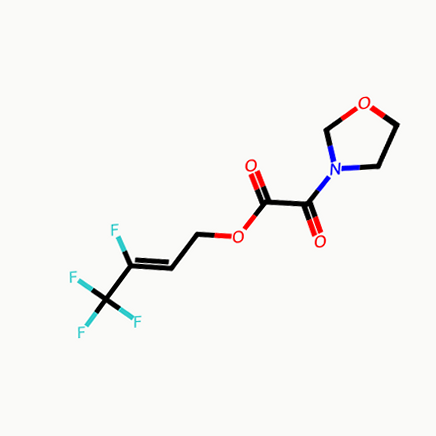 O=C(OC/C=C(\F)C(F)(F)F)C(=O)N1CCOC1